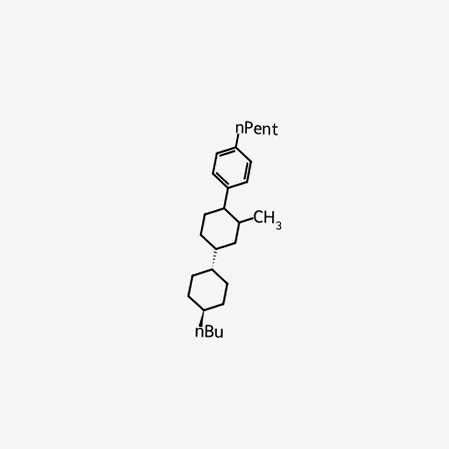 CCCCCc1ccc(C2CCC([C@H]3CC[C@H](CCCC)CC3)CC2C)cc1